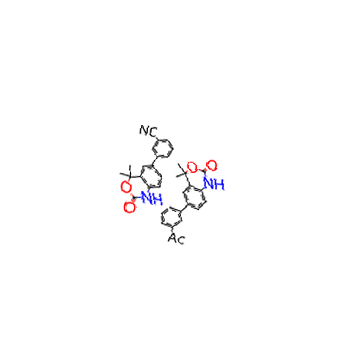 CC(=O)c1cccc(-c2ccc3c(c2)C(C)(C)OC(=O)N3)c1.CC1(C)OC(=O)Nc2ccc(-c3cccc(C#N)c3)cc21